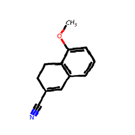 COc1cccc2c1CCC(C#N)=C2